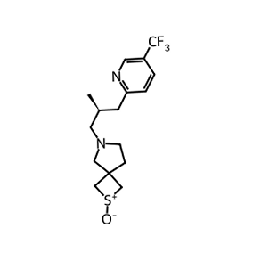 C[C@@H](Cc1ccc(C(F)(F)F)cn1)CN1CCC2(C1)C[S+]([O-])C2